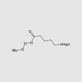 CCCCCCCCCCCC(=O)OOOC(C)(C)C